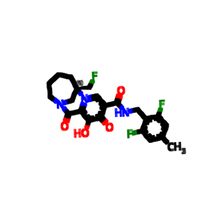 Cc1cc(F)c(CNC(=O)c2cn3c(c(O)c2=O)C(=O)N2CCCC[C@@]3(CF)C2)c(F)c1